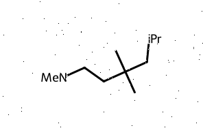 CNCCC(C)(C)CC(C)C